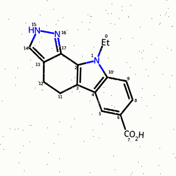 CCn1c2c(c3cc(C(=O)O)ccc31)CCc1c[nH]nc1-2